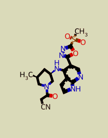 C[C@H]1C[C@@H](Nc2c(-c3nnc(S(C)(=O)=O)o3)cnc3[nH]ccc23)CN(C(=O)CC#N)C1